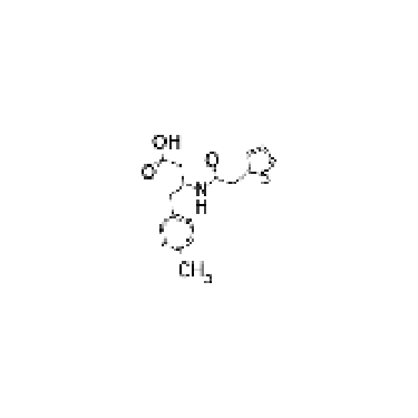 Cc1ccc(CC(CC(=O)O)NC(=O)Cc2cccs2)cc1